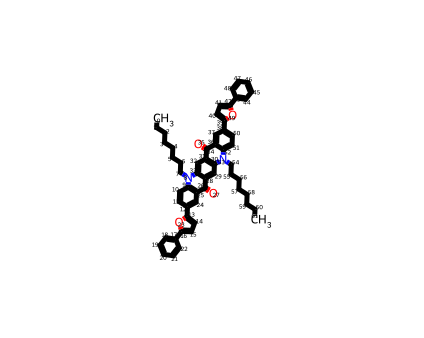 CCCCCCCCn1c2ccc(-c3ccc(-c4ccccc4)o3)cc2c(=O)c2cc3c(cc21)c(=O)c1cc(-c2ccc(-c4ccccc4)o2)ccc1n3CCCCCCCC